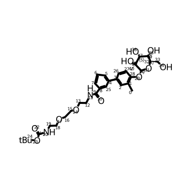 Cc1cc(-c2cccc(C(=O)NCCOCCOCCNC(=O)OC(C)(C)C)c2)ccc1O[C@H]1O[C@H](CO)[C@@H](O)[C@H](O)[C@]1(C)O